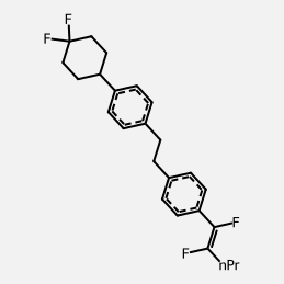 CCCC(F)=C(F)c1ccc(CCc2ccc(C3CCC(F)(F)CC3)cc2)cc1